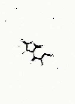 CCC(CC(C)C)C(=O)[C@@H]1C(=O)NC(=O)[C@H]1C